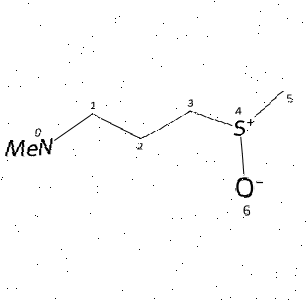 [CH2]NCCC[S+](C)[O-]